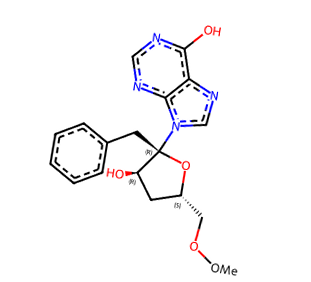 COOC[C@@H]1C[C@@H](O)[C@](Cc2ccccc2)(n2cnc3c(O)ncnc32)O1